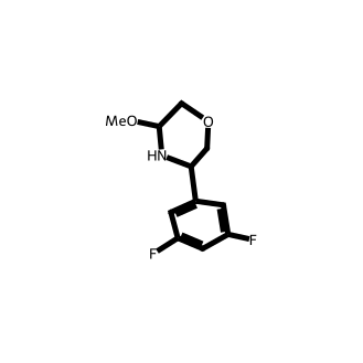 COC1COCC(c2cc(F)cc(F)c2)N1